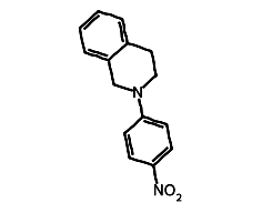 O=[N+]([O-])c1ccc(N2CCc3ccccc3C2)cc1